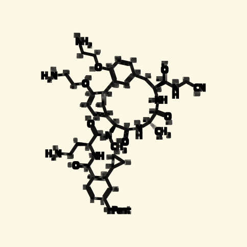 CCCCCc1ccc(C(=O)N[C@@H](CCN)C(=O)N(C)[C@@H]2C(=O)N[C@@H](C)C(=O)N[C@H](C(=O)NCC#N)Cc3ccc(OCCN)c(c3)-c3cc2ccc3OCCN)c(C2CC2)c1